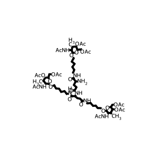 CC(=O)NC1C(OCCCCCCNC(=O)CCC(NC(=O)CCC(N)C(=O)NCCCCCCOC2OC(COC(C)=O)C(OC(C)=O)C(C)C2NC(C)=O)C(=O)NCCCCCCOC2OC(COC(C)=O)C(OC(C)=O)C(C)C2NC(C)=O)OC(COC(C)=O)C(OC(C)=O)C1C